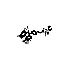 CCC(=C(c1ccc(C=CC(=O)NS(=O)(=O)c2ccncc2)cc1)c1ccc2[nH]ncc2c1)c1ccc(F)cc1Cl